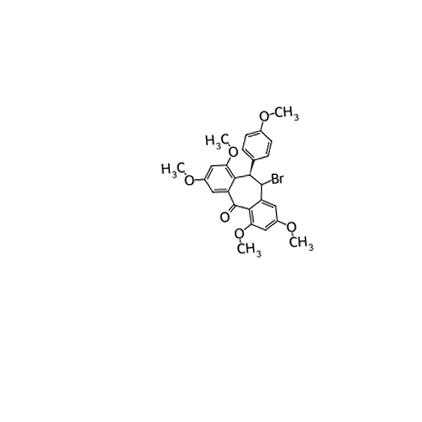 COc1ccc([C@@H]2c3c(OC)cc(OC)cc3C(=O)c3c(OC)cc(OC)cc3C2Br)cc1